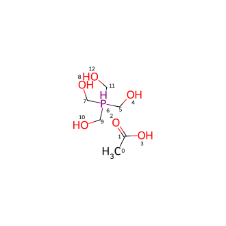 CC(=O)O.OC[PH](CO)(CO)CO